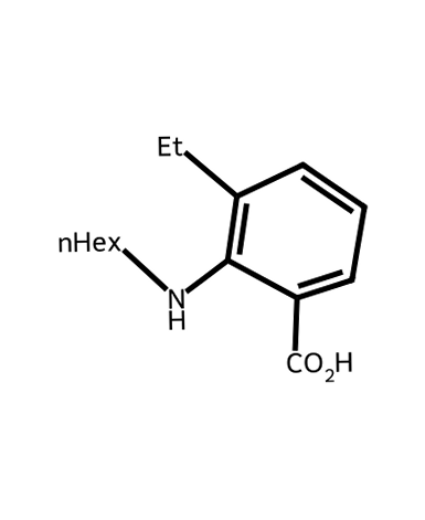 CCCCCCNc1c(CC)cccc1C(=O)O